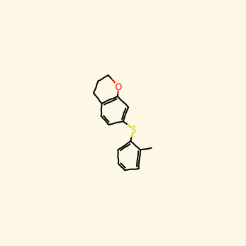 Cc1ccccc1Sc1ccc2c(c1)OCCC2